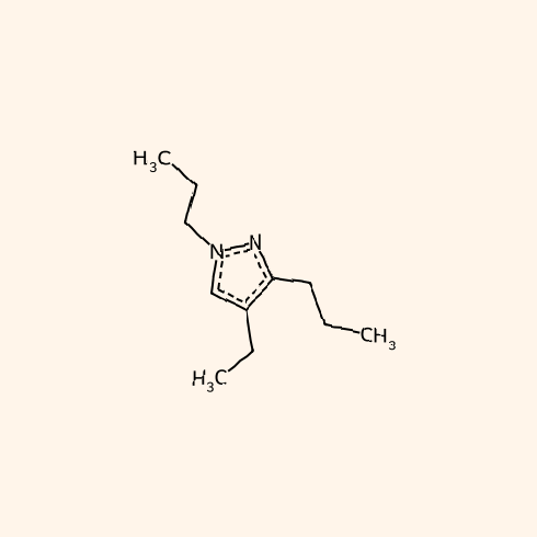 CCCc1nn(CCC)cc1CC